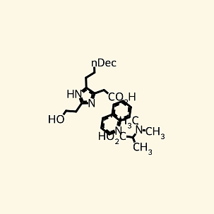 CC(C(=O)O)N(C)C.CCCCCCCCCCCCc1[nH]c(CCO)nc1CC(=O)O.c1ccc2ncccc2c1